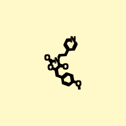 COc1ccc(/C=C2/OC(=O)N(CCc3ccncc3)C2=O)cc1